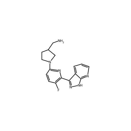 NCC1CCN(c2ccc(F)c(-c3n[nH]c4ncccc34)n2)C1